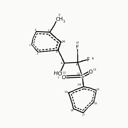 Cc1cccc(C(O)C(F)(F)S(=O)(=O)c2ccccc2)c1